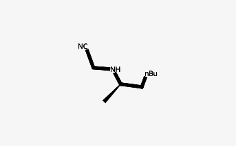 CCCCC[C@@H](C)NCC#N